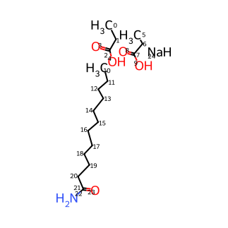 CCC(=O)O.CCC(=O)O.CCCCCCCCCCCC(N)=O.[NaH]